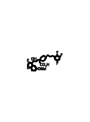 COc1ccc2ncc(F)c([C@H](O)CCC3(CC(=O)O)CCN(CCCc4cc(F)cc(F)c4F)CC3)c2c1